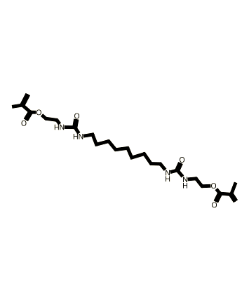 C=C(C)C(=O)OCCNC(=O)NCCCCCCCCCNC(=O)NCCOC(=O)C(=C)C